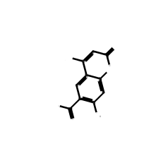 Cc1cc(=O)oc2cc(O)c(C(=O)O)cc12